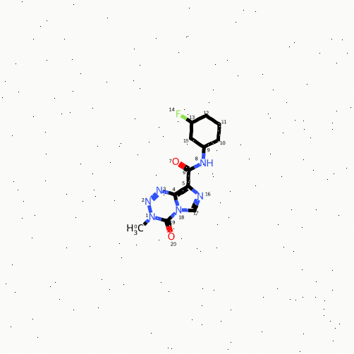 Cn1nnc2c(C(=O)NC3CCCC(F)C3)ncn2c1=O